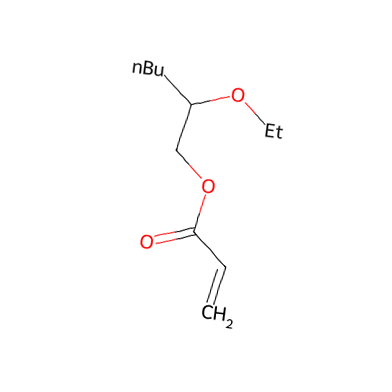 C=CC(=O)OCC(CCCC)OCC